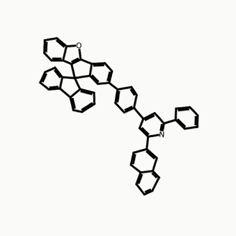 c1ccc(-c2cc(-c3ccc(-c4ccc5c(c4)C4(c6ccccc6-c6ccccc64)c4c-5oc5ccccc45)cc3)cc(-c3ccc4ccccc4c3)n2)cc1